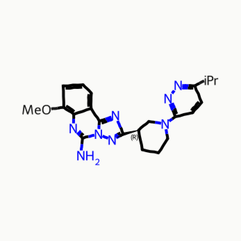 COc1cccc2c1nc(N)n1nc([C@@H]3CCCN(c4ccc(C(C)C)nn4)C3)nc21